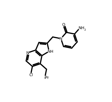 CC(C)Cc1c(Cl)cnc2cc(Cn3cccc(N)c3=O)[nH]c12